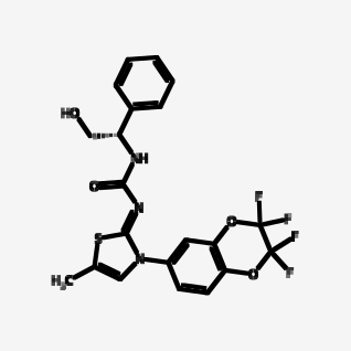 Cc1cn(-c2ccc3c(c2)OC(F)(F)C(F)(F)O3)/c(=N/C(=O)N[C@H](CO)c2ccccc2)s1